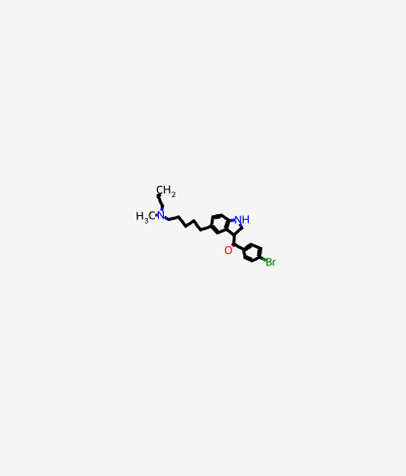 C=CCN(C)CCCCCc1ccc2c(c1)C(C(=O)c1ccc(Br)cc1)CN2